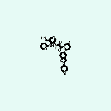 C[C@H]1CC[C@H](c2ccc3nn(C4CCN(C)CC4)cc3c2)N(C(=O)C(=O)Nc2cncc(C=N)c2NC2CCCCO2)C1